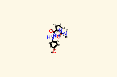 COc1ccc(NNC(=O)C2CCCN2C(=O)N(C)C)cc1